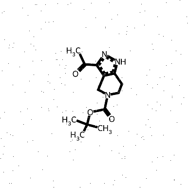 CC(=O)c1n[nH]c2c1CN(C(=O)OC(C)(C)C)CC2